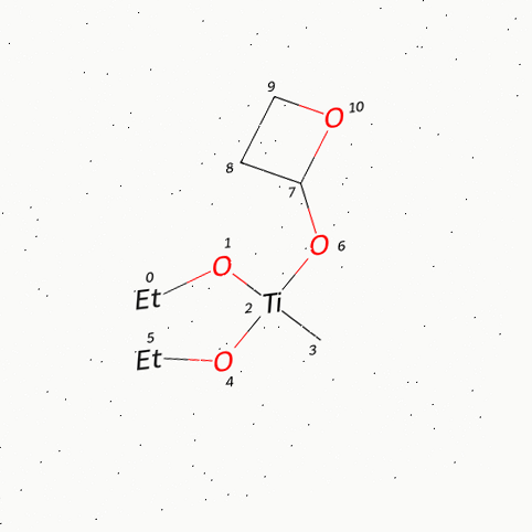 CC[O][Ti]([CH3])([O]CC)[O]C1CCO1